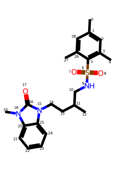 Cc1cc(C)c(S(=O)(=O)NCC(C)CCn2c(=O)n(C)c3ccccc32)c(C)c1